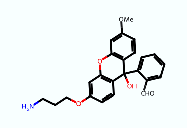 COc1ccc2c(c1)Oc1cc(OCCCN)ccc1C2(O)c1ccccc1C=O